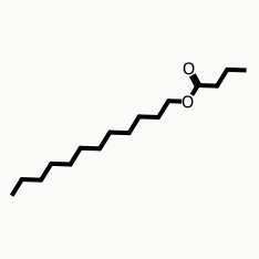 CCCCCCCCCCCCOC(=O)CCC